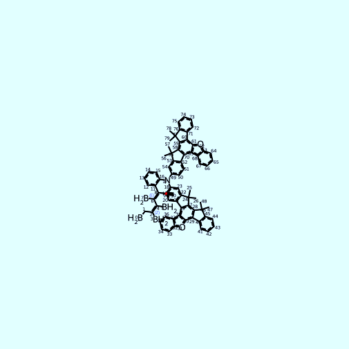 BC/C(B)=C(B)\C(B)=C(/C#C)c1ccccc1N(c1ccc2c(c1)C(C)(C)c1c3c(c4oc5ccccc5c4c1-2)-c1ccccc1C3(C)C)c1ccc2c(c1)C(C)(C)c1c3c(c4oc5ccccc5c4c1-2)-c1ccccc1C3(C)C